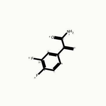 C=C(C(N)=O)c1ccc(F)c(F)c1